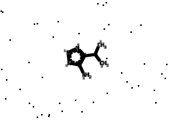 CC(C)c1nsnc1N